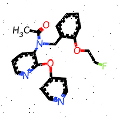 CC(=O)N(Cc1ccccc1OCCF)c1cccnc1Oc1ccncc1